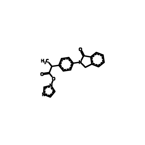 CC(C(=O)On1ccnc1)c1ccc(N2Cc3ccccc3C2=O)cc1